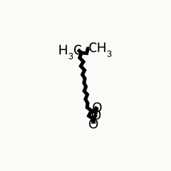 CCCC(C)CCCCCCCCCCCCCC1CC(=O)OC1=O